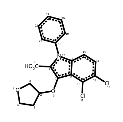 O=C(O)c1c(OC2CCOC2)c2c(Cl)c(Cl)ccc2n1-c1ccccc1